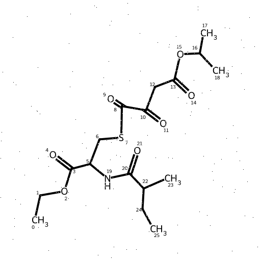 CCOC(=O)C(CSC(=O)C(=O)CC(=O)OC(C)C)NC(=O)C(C)CC